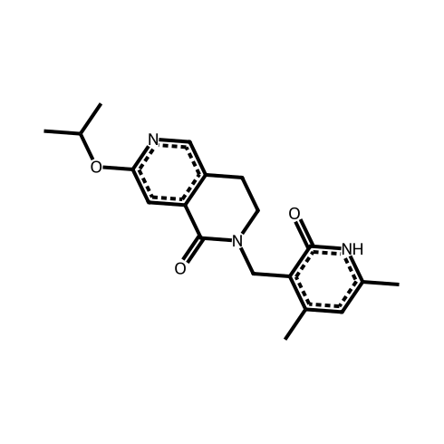 Cc1cc(C)c(CN2CCc3cnc(OC(C)C)cc3C2=O)c(=O)[nH]1